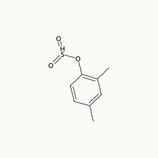 Cc1ccc(O[SH](=O)=O)c(C)c1